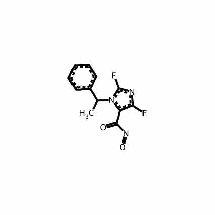 CC(c1ccccc1)n1c(F)nc(F)c1C(=O)N=O